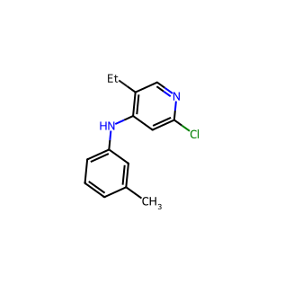 CCc1cnc(Cl)cc1Nc1cccc(C)c1